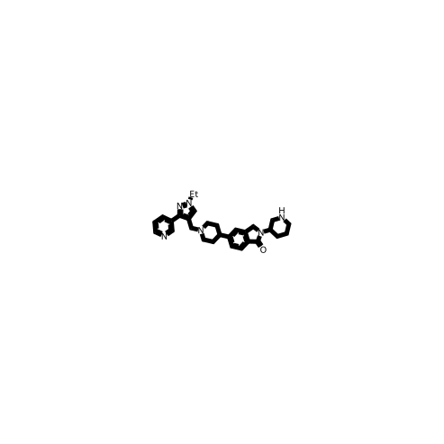 CCn1cc(CN2CCC(c3ccc4c(c3)CN(C3CCCNC3)C4=O)CC2)c(-c2cccnc2)n1